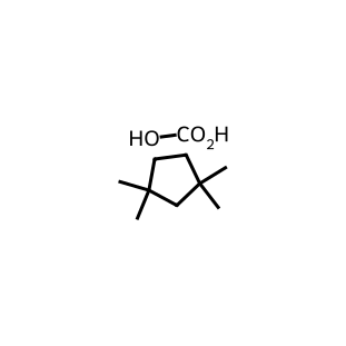 CC1(C)CCC(C)(C)C1.O=C(O)O